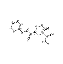 COC(=O)[C@@H]1CN(C(=O)OCc2ccccc2)CCN1